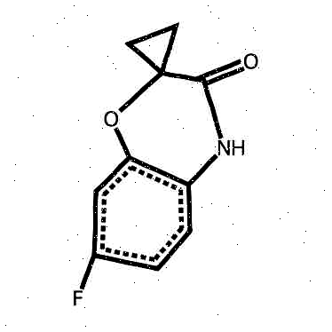 O=C1Nc2ccc(F)cc2OC12CC2